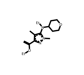 C=C(OCC)c1nn(C)c(N(CC)C2CCOCC2)c1C